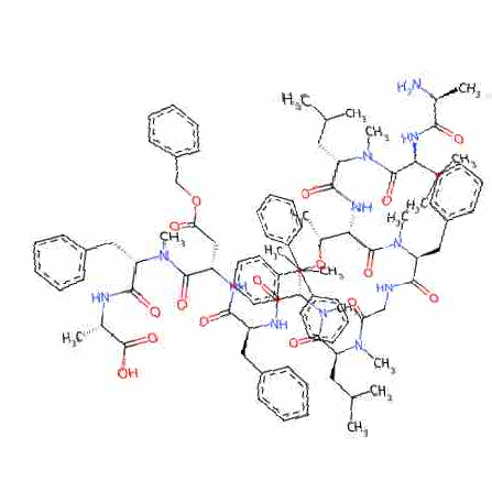 CC(C)C[C@@H](C(=O)N(C)[C@H](C(=O)N[C@@H](Cc1ccccc1)C(=O)N[C@@H](CC(=O)OCc1ccccc1)C(=O)N(C)[C@@H](Cc1ccccc1)C(=O)N[C@@H](C)C(=O)O)C(C)C)N(C)C(=O)CNC(=O)[C@H](Cc1ccccc1)N(C)C(=O)[C@@H](NC(=O)[C@H](CC(C)C)N(C)C(=O)[C@@H](NC(=O)[C@H](C)N)C(C)C)[C@@H](C)OC(c1ccccc1)(c1ccccc1)c1ccccc1